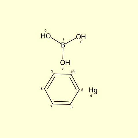 OB(O)O.[Hg].c1ccccc1